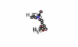 CC1(C)c2ccccc2-c2ccc(N(c3ccc(-c4ccccc4)cc3)c3ccc4c(ccc5cc(-c6ccc7c(c6)C6(c8ccccc8-7)c7ccccc7C(C)(C)c7ccccc76)ccc54)c3)cc21